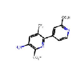 Nc1cc(C(F)(F)F)c(-c2ccnc(C(=O)O)c2)nc1C(=O)O